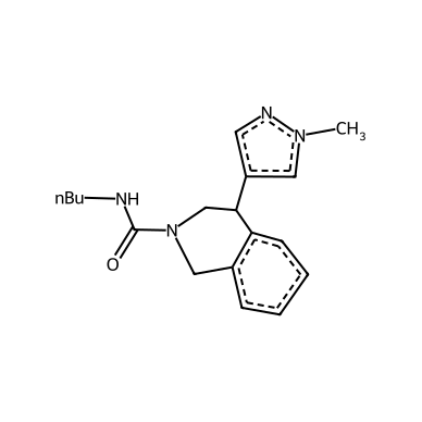 CCCCNC(=O)N1Cc2ccccc2C(c2cnn(C)c2)C1